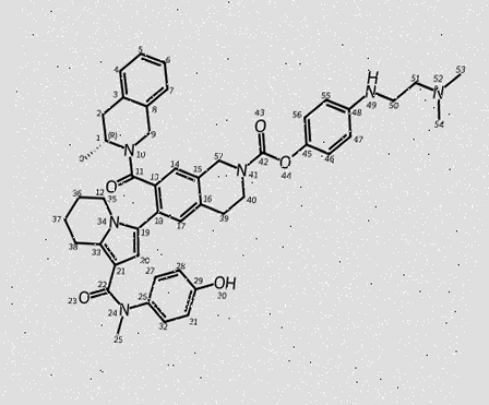 C[C@@H]1Cc2ccccc2CN1C(=O)c1cc2c(cc1-c1cc(C(=O)N(C)c3ccc(O)cc3)c3n1CCCC3)CCN(C(=O)Oc1ccc(NCCN(C)C)cc1)C2